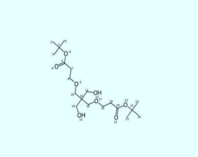 CC(C)(C)OC(=O)CCOCC(CO)(CO)COCCC(=O)OC(C)(C)C